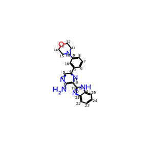 Nc1ncc(-c2cccc(N3CCOCC3)c2)nc1-c1nc2ccccc2[nH]1